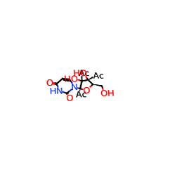 CC(=O)[C@@]1(O)[C@@](O)(C(C)=O)[C@@H](CO)O[C@@]1(C(C)=O)n1ccc(=O)[nH]c1=O